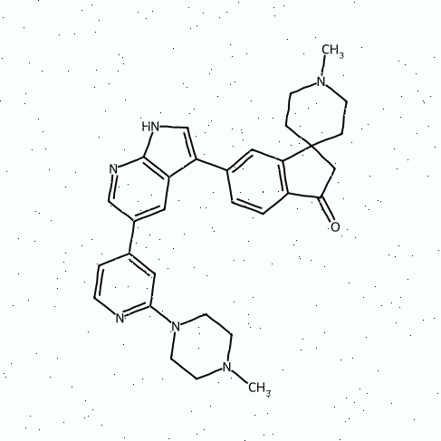 CN1CCN(c2cc(-c3cnc4[nH]cc(-c5ccc6c(c5)C5(CCN(C)CC5)CC6=O)c4c3)ccn2)CC1